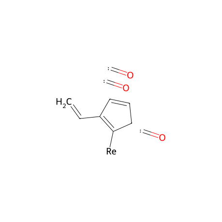 C=CC1=[C]([Re])CC=C1.[C]=O.[C]=O.[C]=O